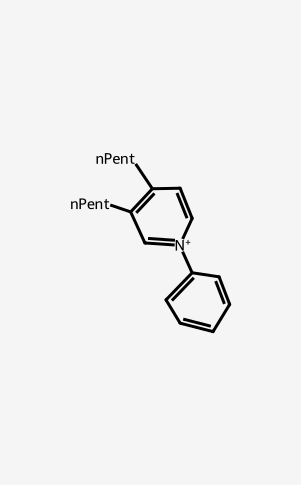 CCCCCc1cc[n+](-c2ccccc2)cc1CCCCC